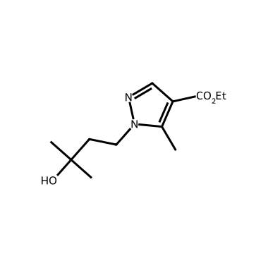 CCOC(=O)c1cnn(CCC(C)(C)O)c1C